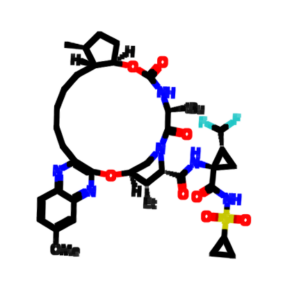 CC[C@@H]1[C@@H]2CN(C(=O)[C@H](C(C)(C)C)NC(=O)O[C@@H]3CC[C@H](C)[C@H]3CCCCCc3nc4ccc(OC)cc4nc3O2)[C@@H]1C(=O)N[C@]1(C(=O)NS(=O)(=O)C2CC2)C[C@H]1C(F)F